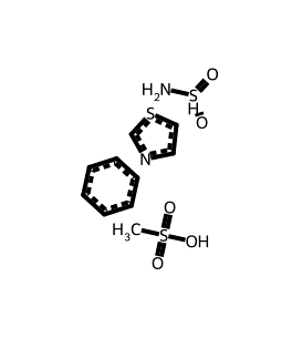 CS(=O)(=O)O.N[SH](=O)=O.c1ccccc1.c1cscn1